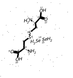 N[C@@H](CSSC[C@H](N)C(=O)O)C(=O)O.[SeH2].[SeH2]